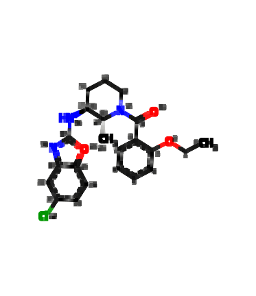 CCOc1ccccc1C(=O)N1CCC[C@H](Nc2nc3cc(Cl)ccc3o2)[C@H]1C